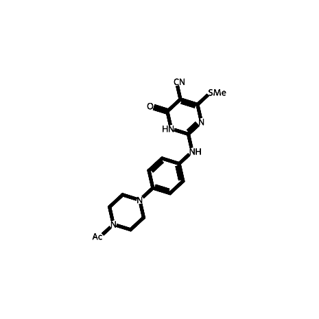 CSc1nc(Nc2ccc(N3CCN(C(C)=O)CC3)cc2)[nH]c(=O)c1C#N